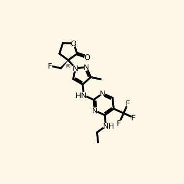 CCNc1nc(Nc2cn([C@]3(CF)CCOC3=O)nc2C)ncc1C(F)(F)F